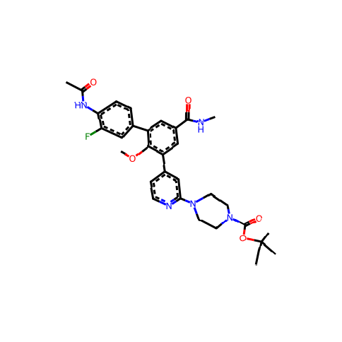 CNC(=O)c1cc(-c2ccnc(N3CCN(C(=O)OC(C)(C)C)CC3)c2)c(OC)c(-c2ccc(NC(C)=O)c(F)c2)c1